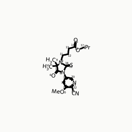 COc1cc(N2C(=O)C(C)(C)N(CCCC(=O)OC(C)C)C2=S)cnc1C#N